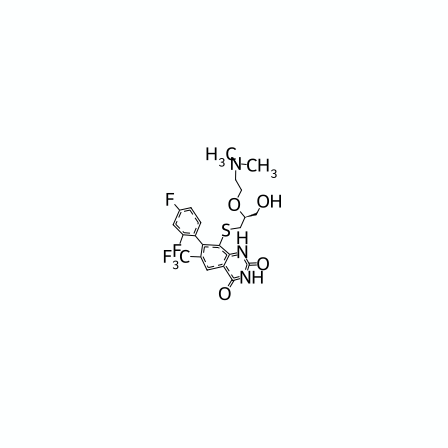 CN(C)CCO[C@@H](CO)CSc1c(-c2ccc(F)cc2F)c(C(F)(F)F)cc2c(=O)[nH]c(=O)[nH]c12